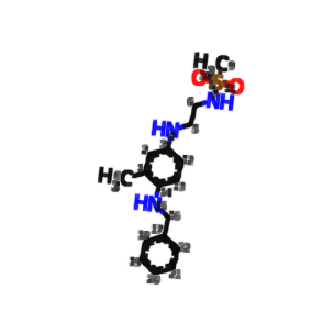 Cc1cc(NCCNS(C)(=O)=O)ccc1NCc1ccccc1